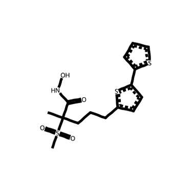 CC(CCCc1ccc(-c2cccs2)s1)(C(=O)NO)S(C)(=O)=O